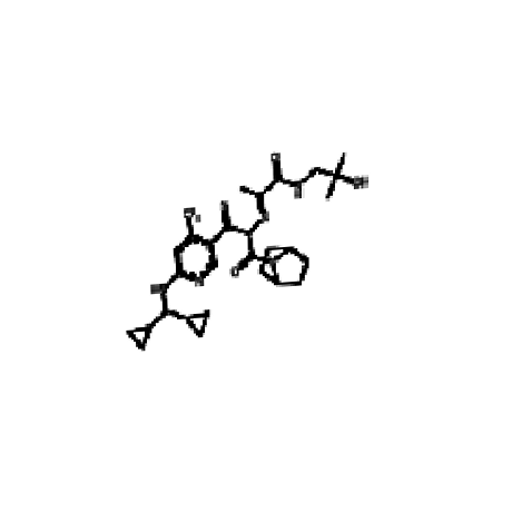 C/C(=N\C(C(=O)N1C2CCC1CC2)C(=S)c1cnc(NC(C2CC2)C2CC2)cc1C(F)(F)F)C(=O)NCC(C)(C)O